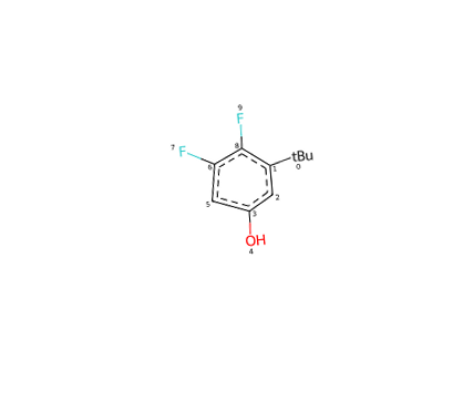 CC(C)(C)c1cc(O)cc(F)c1F